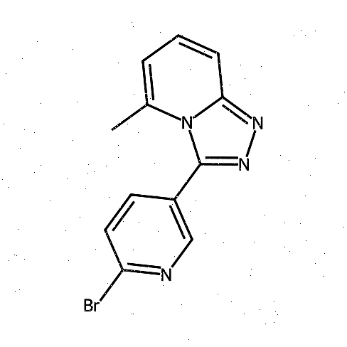 Cc1cccc2nnc(-c3ccc(Br)nc3)n12